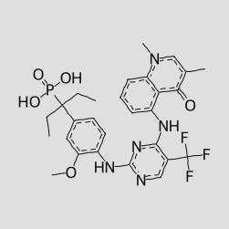 CCC(CC)(c1ccc(Nc2ncc(C(F)(F)F)c(Nc3cccc4c3c(=O)c(C)cn4C)n2)c(OC)c1)P(=O)(O)O